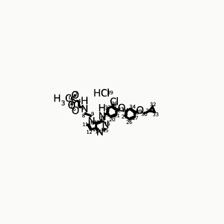 CS(=O)(=O)CC(=O)NCCn1ccc2ncnc(Nc3ccc(Oc4cccc(OCC5CC5)c4)c(Cl)c3)c21.Cl